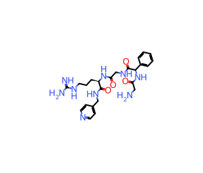 N=C(N)NCCC[C@@H](NC(=O)CNC(=O)[C@H](NC(=O)CN)c1ccccc1)C(=O)NCc1ccncc1